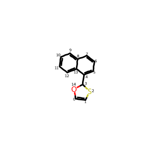 C1=CSC(c2cccc3ccccc23)O1